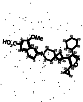 COc1cc(C(=O)O)nc2ccc(N3CCC4(C=C(c5c(C6CCCCC6)noc5C5CC5)C4)CC3)cc12